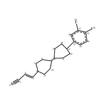 N#CC=CC1CCC(C2CCC(c3ccc(F)c(F)c3)CC2)CC1